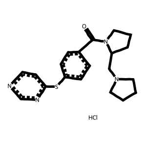 Cl.O=C(c1ccc(Sc2ccncn2)cc1)N1CCCC1CN1CCCC1